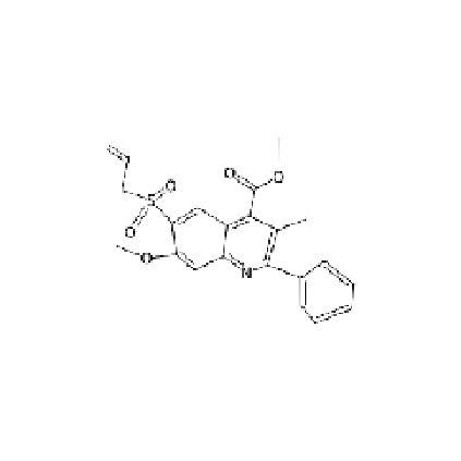 C=CCS(=O)(=O)c1cc2c(C(=O)OC)c(C)c(-c3ccccc3)nc2cc1OC